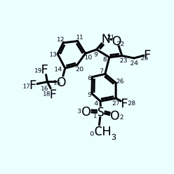 CS(=O)(=O)c1ccc(-c2c(-c3cccc(OC(F)(F)F)c3)noc2CF)cc1F